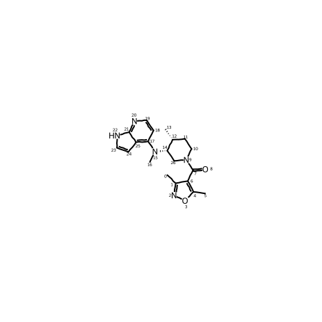 Cc1noc(C)c1C(=O)N1CC[C@@H](C)[C@@H](N(C)c2ccnc3[nH]ccc23)C1